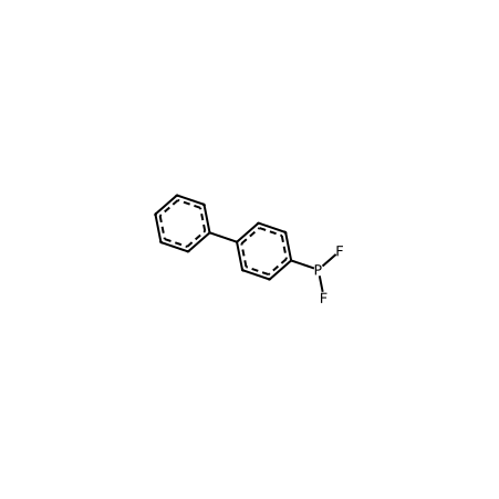 FP(F)c1ccc(-c2ccccc2)cc1